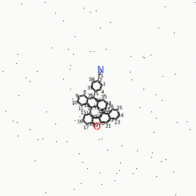 N#Cc1ccc(-c2c3ccccc3c(-c3cccc4oc5cc6ccccc6cc5c34)c3ccccc23)cc1